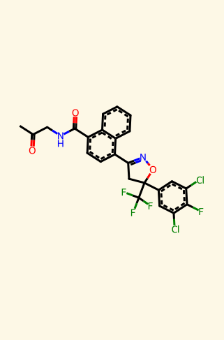 CC(=O)CNC(=O)c1ccc(C2=NOC(c3cc(Cl)c(F)c(Cl)c3)(C(F)(F)F)C2)c2ccccc12